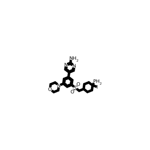 Nc1ncc(-c2cc(N3CCOCC3)cc(S(=O)(=O)CC3CCC(P)(I)CC3)c2)cn1